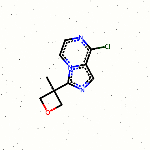 CC1(c2ncc3c(Cl)nccn23)COC1